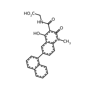 Cn1c(=O)c(C(=O)NCC(=O)O)c(O)c2cc(-c3cccc4ccccc34)ccc21